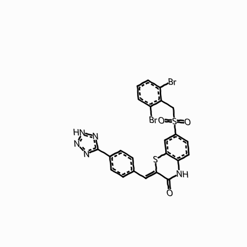 O=C1Nc2ccc(S(=O)(=O)Cc3c(Br)cccc3Br)cc2S/C1=C\c1ccc(-c2nn[nH]n2)cc1